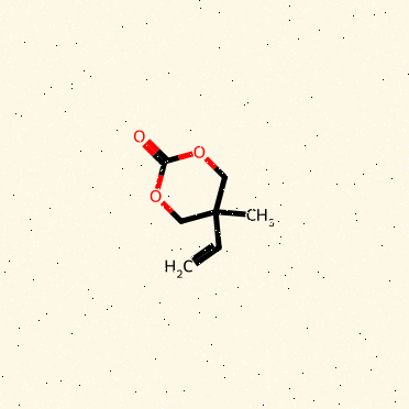 C=CC1(C)COC(=O)OC1